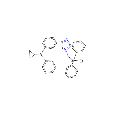 CC[Si](Cn1ccnc1)(c1ccccc1)c1ccccc1.c1ccc(B(c2ccccc2)C2CC2)cc1